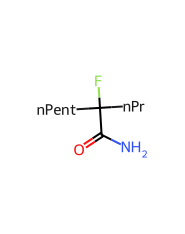 CCCCCC(F)(CCC)C(N)=O